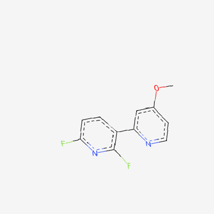 COc1ccnc(-c2ccc(F)nc2F)c1